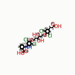 O=C(O)CCc1cc(Cl)c(OCCC(O)C(O)CCOc2c(Cl)cc(Nc3ccccc3C(=O)O)cc2Cl)c(Cl)c1